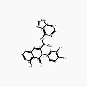 CC[C@H](Nc1ncnc2[nH]cnc12)c1cc2cccc(F)c2c(=O)n1-c1ccc(F)c(F)c1